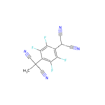 CC(C#N)(C#N)c1c(F)c(F)c(C(C#N)C#N)c(F)c1F